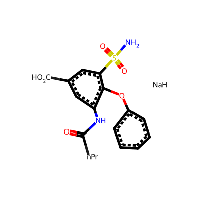 CCCC(=O)Nc1cc(C(=O)O)cc(S(N)(=O)=O)c1Oc1ccccc1.[NaH]